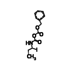 CCC(I)NC(=O)OC(=O)OCc1ccccc1